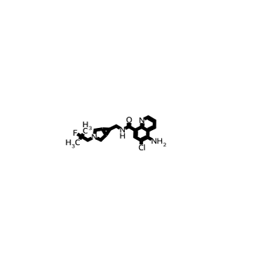 CC(C)(F)CN1CC2C(CNC(=O)c3cc(Cl)c(N)c4cccnc34)C2C1